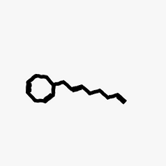 C=CCCCC=CCC1/C=C\C/C=C\CC1